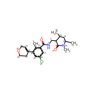 Cc1c(C(=O)NCC2C(=O)N(C)C(C)CC2C)cc(Cl)cc1C1=CCOCC1